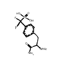 CC(=O)NC(Cc1ccc(C(F)(F)P(=O)(O)O)cc1)C(N)=O